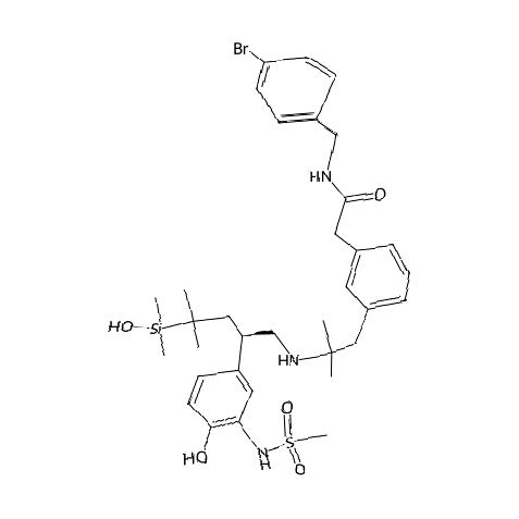 CC(C)(Cc1cccc(CC(=O)NCc2ccc(Br)cc2)c1)NC[C@H](CC(C)(C)[Si](C)(C)O)c1ccc(O)c(NS(C)(=O)=O)c1